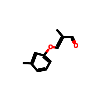 C/C(C=O)=C\Oc1cccc(C)c1